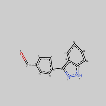 O=Cc1ccc(-c2n[nH]c3ccccc23)cc1